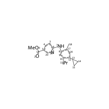 COC(=O)c1ccc(Nc2cc(C(C)C)c(C3CC3)cc2C)nc1